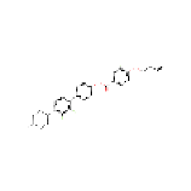 C=CCCOc1ccc(C(=O)Oc2ccc(-c3ccc(C4CCC(C)CC4)c(F)c3F)cc2)cc1F